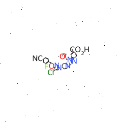 N#Cc1ccc(COc2nn(C3CCN(Cc4nc5ccc(C(=O)O)cc5n4C[C@@H]4CCO4)CC3)cc2Cl)c(F)c1